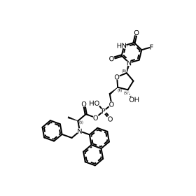 C[C@@H](C(=O)OP(=O)(O)OC[C@H]1O[C@@H](n2cc(F)c(=O)[nH]c2=O)C[C@@H]1O)N(Cc1ccccc1)c1cccc2ccccc12